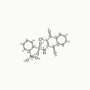 O=C1C(Cl)=C(NS(=O)(=O)c2ccccc2[N+](=O)[O-])C(=O)c2ccccc21